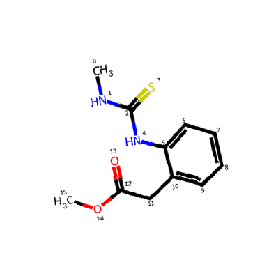 CNC(=S)Nc1ccccc1CC(=O)OC